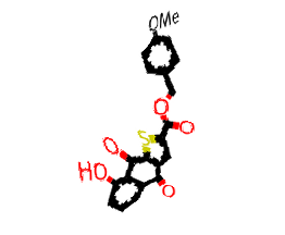 COc1ccc(COC(=O)c2cc3c(s2)C(=O)c2c(O)cccc2C3=O)cc1